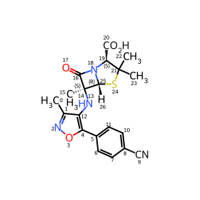 Cc1noc(-c2ccc(C#N)cc2)c1N[C@@]1(C)C(=O)N2[C@@H](C(=O)O)C(C)(C)S[C@@H]21